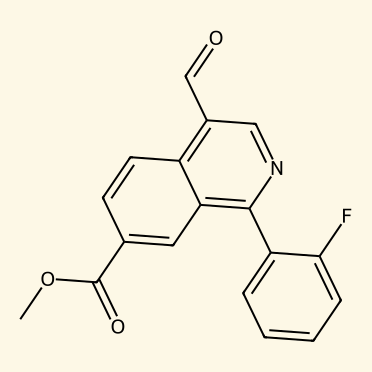 COC(=O)c1ccc2c(C=O)cnc(-c3ccccc3F)c2c1